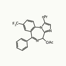 CCCc1cnc2n1-c1ccc(C(F)(F)F)cc1C(c1ccccc1)=NC2OC(C)=O